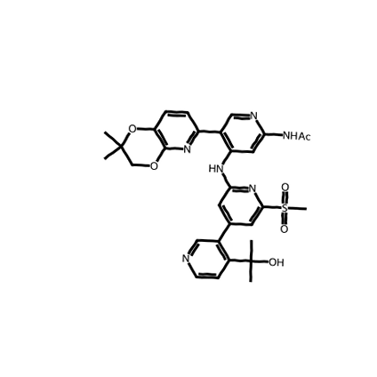 CC(=O)Nc1cc(Nc2cc(-c3cnccc3C(C)(C)O)cc(S(C)(=O)=O)n2)c(-c2ccc3c(n2)OCC(C)(C)O3)cn1